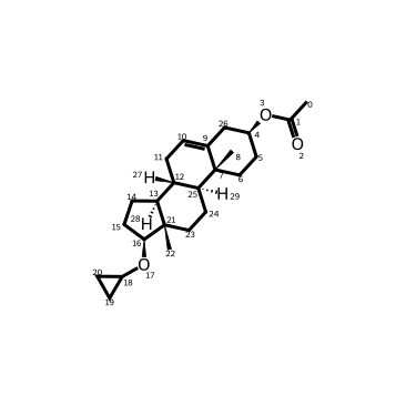 CC(=O)O[C@H]1CC[C@@]2(C)C(=CC[C@H]3[C@@H]4CC[C@H](OC5CC5)[C@@]4(C)CC[C@@H]32)C1